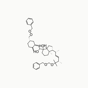 C=C1CC[C@H](COOCc2ccccc2)C/C1=C/C(O)C1(O)CCC[C@]2(C)[C@@H]([C@H](C)/C=C/[C@H](C)C(C)(C)OCOCc3ccccc3)CC[C@@H]12